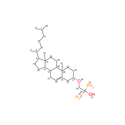 CC(C)CCCC(C)C1CCC2C3CC=C4CC(OCC(O)(P)P)CCC4(C)C3CCC12C